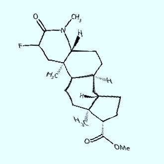 COC(=O)[C@H]1CC[C@H]2[C@@H]3CC[C@H]4N(C)C(=O)C(F)C[C@]4(C)C3CC[C@]12C